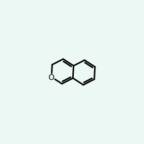 C1=c2ccccc2=COC1